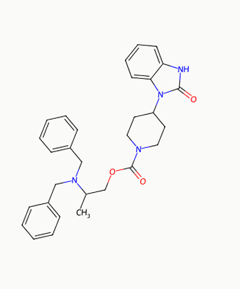 CC(COC(=O)N1CCC(n2c(=O)[nH]c3ccccc32)CC1)N(Cc1ccccc1)Cc1ccccc1